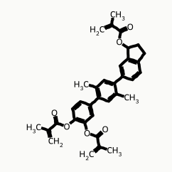 C=C(C)C(=O)Oc1ccc(-c2cc(C)c(-c3ccc4c(c3)C(OC(=O)C(=C)C)CC4)cc2C)cc1OC(=O)C(=C)C